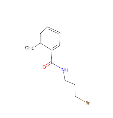 O=Cc1ccccc1C(=O)NCCCBr